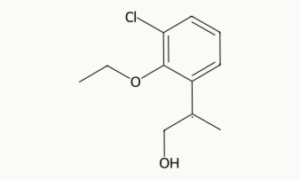 CCOc1c(Cl)cccc1[C](C)CO